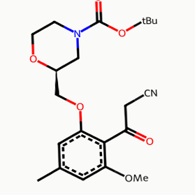 COc1cc(C)cc(OC[C@@H]2CN(C(=O)OC(C)(C)C)CCO2)c1C(=O)CC#N